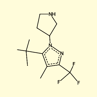 Cc1c(C(F)(F)F)nn(C2CCNC2)c1C(C)(C)C